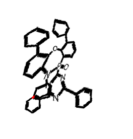 O=P1(c2nc(-c3ccccc3)nc(-c3ccccc3)n2)c2cccc(-c3ccccc3)c2Oc2c(-c3ccccc3)cccc2N1c1ccccc1